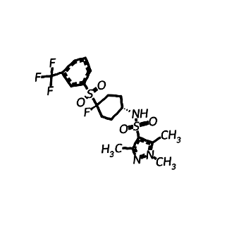 Cc1nn(C)c(C)c1S(=O)(=O)N[C@H]1CC[C@@](F)(S(=O)(=O)c2cccc(C(F)(F)F)c2)CC1